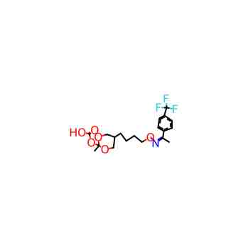 CC(=NOCCCCC1COC(C)(OC(=O)O)OC1)c1ccc(C(F)(F)F)cc1